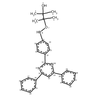 CC(C)(O)C(C)(C)OBc1ccc(-c2nc(-c3ccccc3)cc(-c3ccccc3)n2)cc1